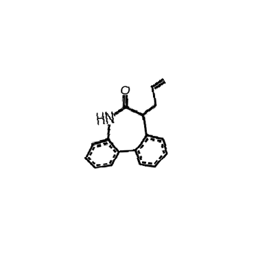 C=CCC1C(=O)Nc2ccccc2-c2ccccc21